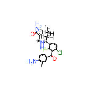 [2H]C([2H])([2H])C([2H])([2H])[C@@H](N[C@H](C)CC(N)=O)c1ccc(Cl)c(C(=O)c2ccc(N)c(C)c2)c1F